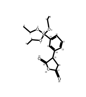 CCO[Si](OCC)(OCC)c1cccc(C2CC(=O)OC2=O)c1